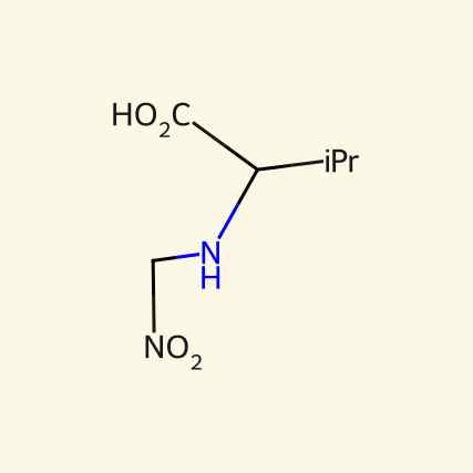 CC(C)C(NC[N+](=O)[O-])C(=O)O